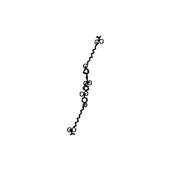 C=C(C)C(=O)OCCCCCCCCCCCOc1ccc(C#CC(=O)Oc2c#cc(OC(=O)C3CCC(OCCCCCCCCCCCOC(=O)C(C)C)CC3)cc2)cc1